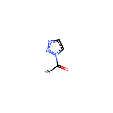 CCCC(=O)n1ccnn1